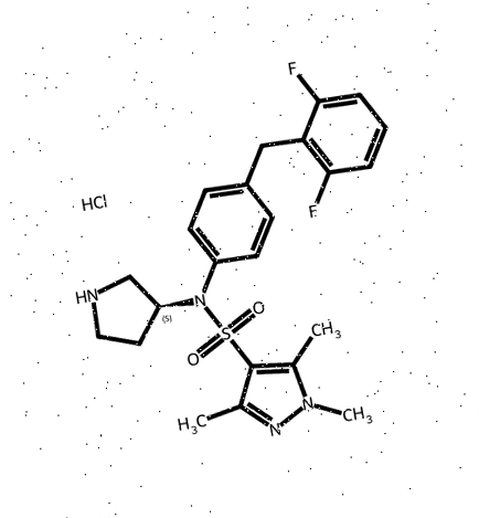 Cc1nn(C)c(C)c1S(=O)(=O)N(c1ccc(Cc2c(F)cccc2F)cc1)[C@H]1CCNC1.Cl